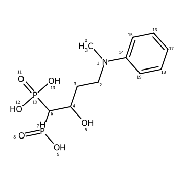 CN(CCC(O)C([PH](=O)O)P(=O)(O)O)c1ccccc1